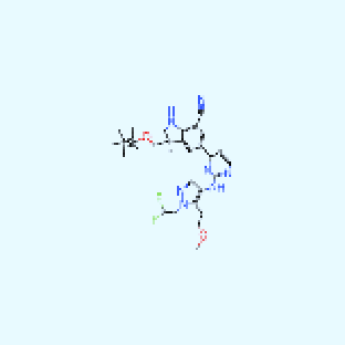 COCCc1c(Nc2nccc(-c3cc(C#N)c4c(c3)[C@@](C)(CO[Si](C)(C)C(C)(C)C)CN4)n2)cnn1CC(F)F